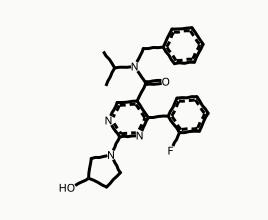 CC(C)N(Cc1ccccc1)C(=O)c1cnc(N2CCC(O)C2)nc1-c1ccccc1F